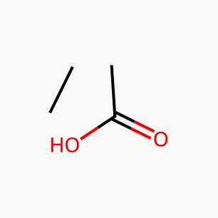 CC.CC(=O)O